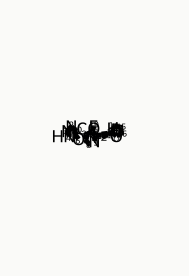 O=C(O)c1nn[nH]c1Oc1cnc(C#CC2CCCO2)c(F)c1